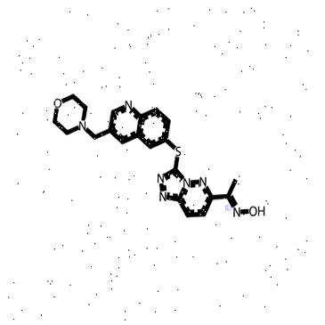 C/C(=N\O)c1ccc2nnc(Sc3ccc4ncc(CN5CCOCC5)cc4c3)n2n1